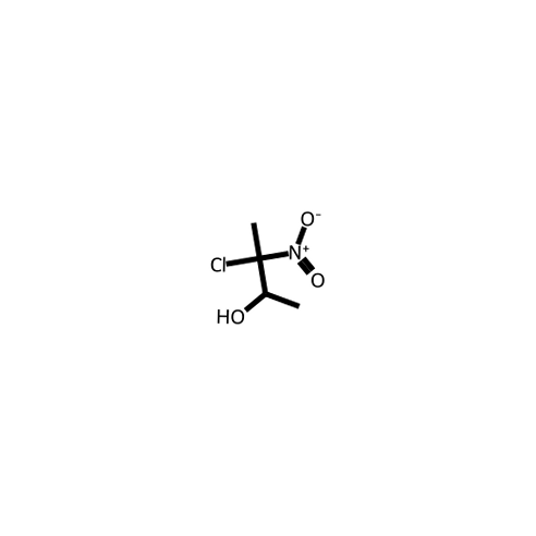 CC(O)C(C)(Cl)[N+](=O)[O-]